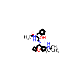 CC(=O)N[C@@H](Cc1ccccc1)[C@H](O)CN[C@H]1CC2(CCC2)Oc2ccc(NC(C)(C)C)cc21